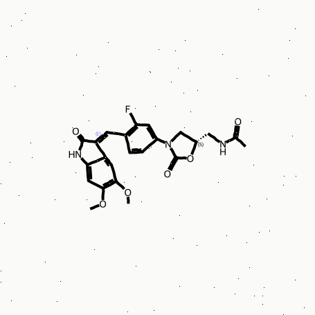 COc1cc2c(cc1OC)/C(=C\c1ccc(N3C[C@H](CNC(C)=O)OC3=O)cc1F)C(=O)N2